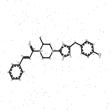 CC1CN(c2nc(Cc3ccc(Cl)cc3)ns2)CCN1C(=O)/C=C/c1ccccc1